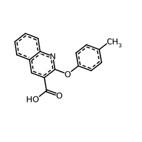 Cc1ccc(Oc2nc3ccccc3cc2C(=O)O)cc1